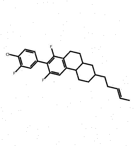 CC=CCCC1CCC2c3cc(F)c(-c4ccc(Cl)c(F)c4)c(F)c3CCC2C1